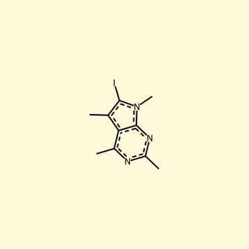 Cc1nc(C)c2c(C)c(I)n(C)c2n1